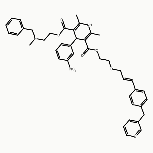 CC1=C(C(=O)OCCOCC=Cc2ccc(Cc3cccnc3)cc2)C(c2cccc([N+](=O)[O-])c2)C(C(=O)OCCN(C)Cc2ccccc2)=C(C)N1